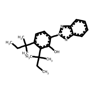 CCC(C)(C)c1ccc(-n2nc3ccccc3n2)c(O)c1C(C)(C)CC